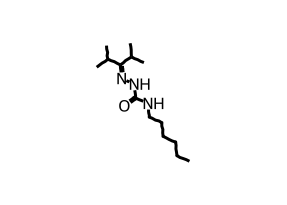 CCCCCCNC(=O)NN=C(C(C)C)C(C)C